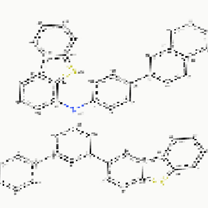 c1ccc(-c2cc(-c3ccc4sc5ccccc5c4c3)cc(N(c3ccc(-c4ccc5ccccc5c4)cc3)c3cccc4c3sc3ccccc34)c2)cc1